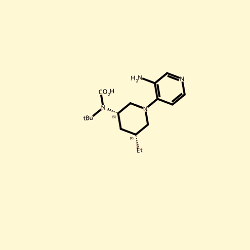 CC[C@@H]1C[C@H](N(C(=O)O)C(C)(C)C)CN(c2ccncc2N)C1